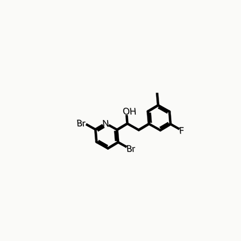 Cc1cc(F)cc(CC(O)c2nc(Br)ccc2Br)c1